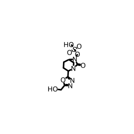 O=C1N2CC(CCC2c2nnc(CO)o2)N1OS(=O)(=O)O